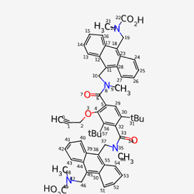 C#CCOc1c(C(=O)N(C)Cc2c3ccccc3c(CN(C)C(=O)O)c3ccccc23)cc(C(C)(C)C)c(C(=O)N(C)Cc2c3ccccc3c(CN(C)C(=O)O)c3ccccc23)c1C(C)(C)C